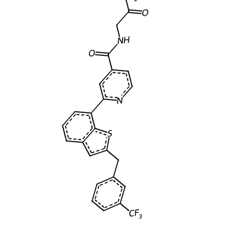 NC(=O)CNC(=O)c1ccnc(-c2cccc3cc(Cc4cccc(C(F)(F)F)c4)sc23)c1